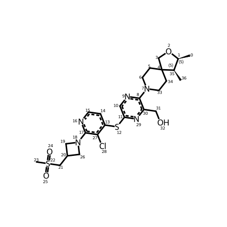 C[C@@H]1OCC2(CCN(c3ncc(Sc4ccnc(N5CC(CS(C)(=O)=O)C5)c4Cl)nc3CO)CC2)[C@@H]1C